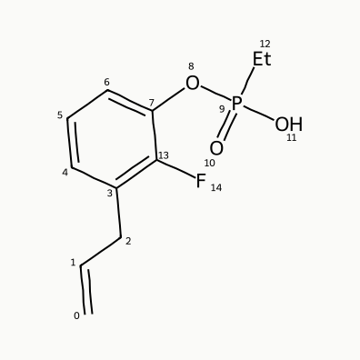 C=CCc1cccc(OP(=O)(O)CC)c1F